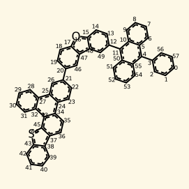 c1ccc(-c2c3ccccc3c(-c3ccc4oc5ccc(-c6ccc7c(c6)c6ccccc6c6c7ccc7c8ccccc8sc76)cc5c4c3)c3ccccc23)cc1